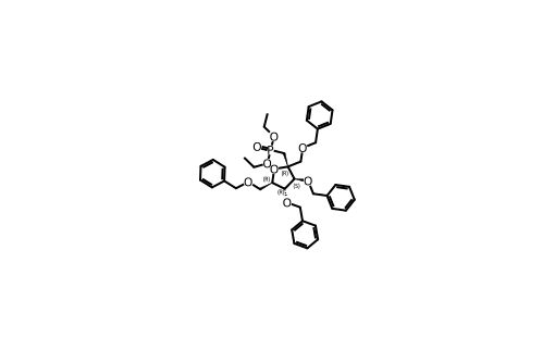 CCOP(=O)(C[C@]1(COCc2ccccc2)O[C@H](COCc2ccccc2)[C@@H](OCc2ccccc2)[C@@H]1OCc1ccccc1)OCC